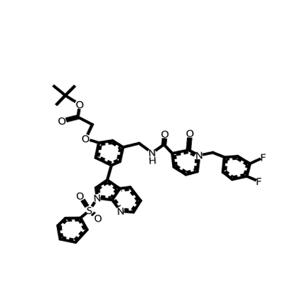 CC(C)(C)OC(=O)COc1cc(CNC(=O)c2cccn(Cc3ccc(F)c(F)c3)c2=O)cc(-c2cn(S(=O)(=O)c3ccccc3)c3ncccc23)c1